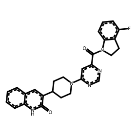 O=C(c1cc(N2CCC(c3cc4ccccc4[nH]c3=O)CC2)ncn1)N1CCc2c(F)cccc21